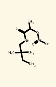 CC(O[N+](=O)[O-])C(=O)NCC(C)(C)CN